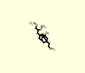 CCCC12CC3CC(CCN)(C1)CC(CC(CO[N+](=O)[O-])O[N+](=O)[O-])(C3)C2